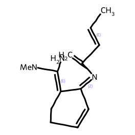 C=C(/C=C/C)/N=C1/C=CCC/C1=C(/N)NC